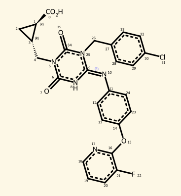 O=C(O)[C@@H]1C[C@H]1Cn1c(=O)[nH]/c(=N\c2ccc(Oc3ncccc3F)cc2)n(Cc2ccc(Cl)cc2)c1=O